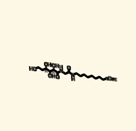 CCCCCCCCCCCCCCCCCCNC(=O)CNC(=O)[C@H](O)[C@@H](O)[C@H](O)CCO